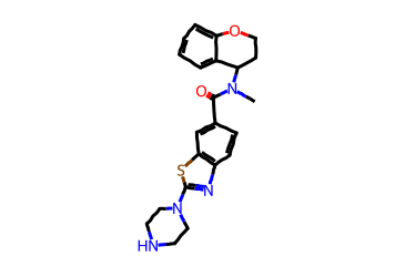 CN(C(=O)c1ccc2nc(N3CCNCC3)sc2c1)C1CCOc2ccccc21